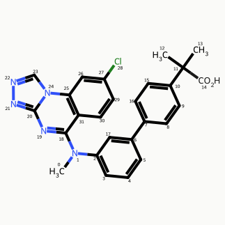 CN(c1cccc(-c2ccc(C(C)(C)C(=O)O)cc2)c1)c1nc2nncn2c2cc(Cl)ccc12